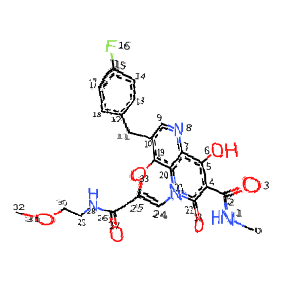 CNC(=O)c1c(O)c2ncc(Cc3ccc(F)cc3)c3c2n(c1=O)C=C(C(=O)NCCOC)O3